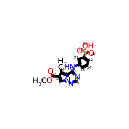 COC(=O)c1cn2ncnc(Nc3cccc(S(=O)(=O)O)c3)c2c1C